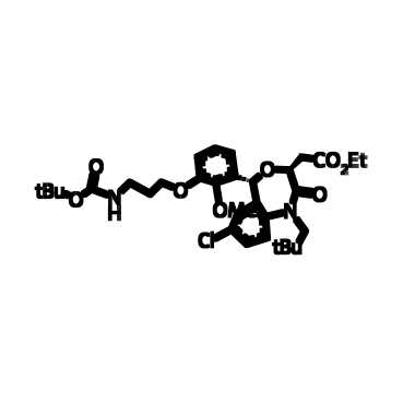 CCOC(=O)C[C@@H]1O[C@@H](c2cccc(OCCCNC(=O)OC(C)(C)C)c2OC)c2cc(Cl)ccc2N(CC(C)(C)C)C1=O